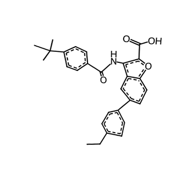 CCc1ccc(-c2ccc3oc(C(=O)O)c(NC(=O)c4ccc(C(C)(C)C)cc4)c3c2)cc1